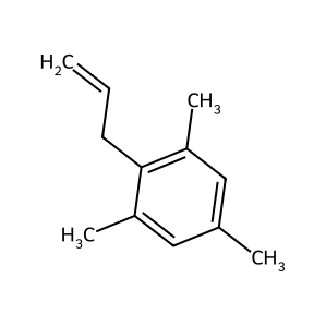 C=CCc1c(C)cc(C)cc1C